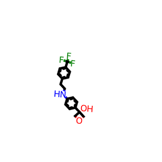 OC1(c2ccc(NCCc3ccc(C(F)(F)F)cc3)cc2)COC1